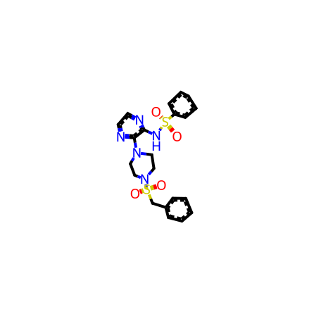 O=S(=O)(Nc1nccnc1N1CCN(S(=O)(=O)Cc2ccccc2)CC1)c1ccccc1